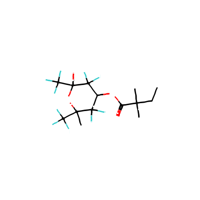 CCC(C)(C)C(=O)OC1C(F)(F)C(C)(C(F)(F)F)OC(O)(C(F)(F)F)C1(F)F